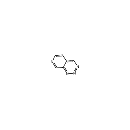 c1cc2cnnnc2cn1